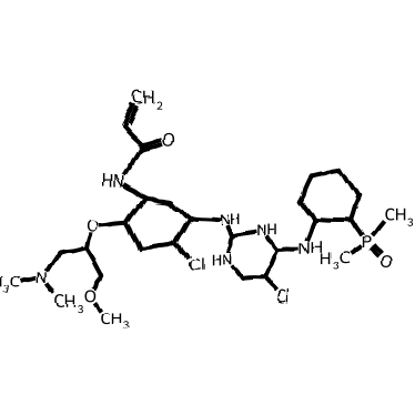 C=CC(=O)NC1CC(NC2NCC(Cl)C(NC3CCCCC3P(C)(C)=O)N2)C(Cl)CC1OC(COC)CN(C)C